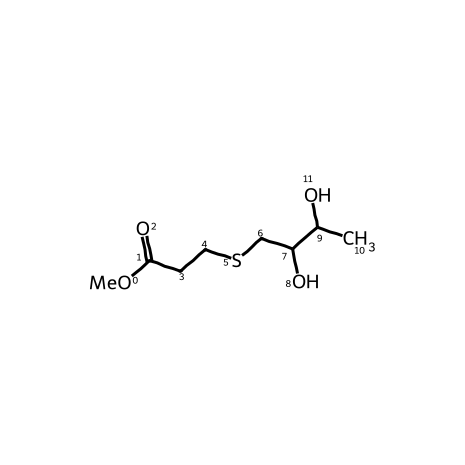 COC(=O)CCSCC(O)C(C)O